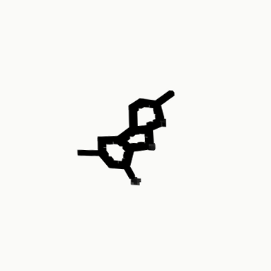 Cc1cc(Br)c2oc3nc(C)ccc3c2c1